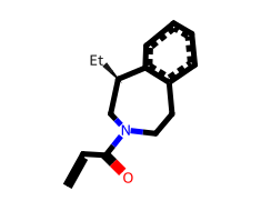 C=CC(=O)N1CCc2ccccc2[C@H](CC)C1